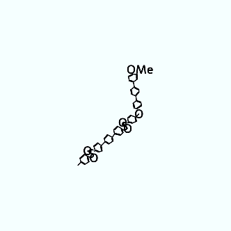 COc1ccc(-c2ccc(-c3ccc(Oc4ccc(S(=O)(=O)c5ccc(-c6ccc(-c7ccc(S(=O)(=O)c8ccc(C)cc8)cc7)cc6)cc5)cc4)cc3)cc2)cc1